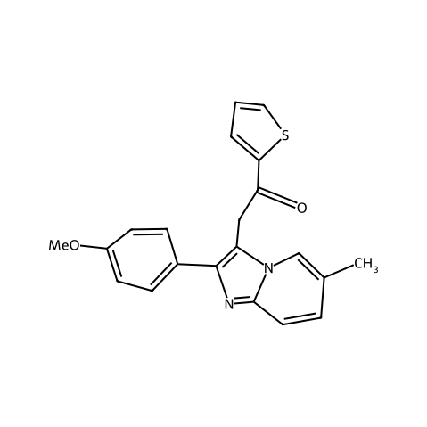 COc1ccc(-c2nc3ccc(C)cn3c2CC(=O)c2cccs2)cc1